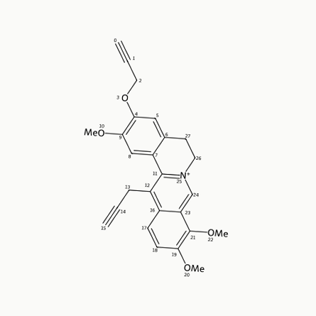 C#CCOc1cc2c(cc1OC)-c1c(CC#C)c3ccc(OC)c(OC)c3c[n+]1CC2